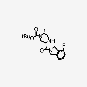 C[C@@H]1CN[C@H](C(=O)N2Cc3cccc(F)c3C2)CN1C(=O)OC(C)(C)C